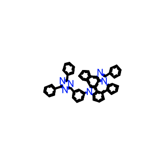 c1ccc(-c2nc(-c3ccccc3)nc(-c3cccc(-n4c5cccc6c7ccccc7n7c(-c8ccccc8)nc8c9ccccc9c4c(c65)c87)c3)n2)cc1